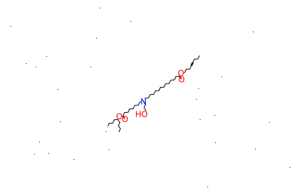 CCCC#CCCCOC(=O)CCCCCCCCCCCCCN(CCCO)CCCCCCCC(=O)OC(CCCC)CCCC